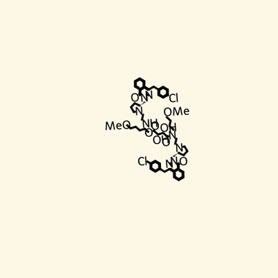 COCCCCN(CCN1CCC[C@@H]1Cn1nc(Cc2ccc(Cl)cc2)c2ccccc2c1=O)C(=O)C(O)C(O)C(=O)OC(CCCOC)NCCN1CCC[C@@H]1Cn1nc(Cc2ccc(Cl)cc2)c2ccccc2c1=O